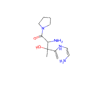 C=C(N/C=C\N)C(C)(O)C(N)C(=O)N1CCCC1